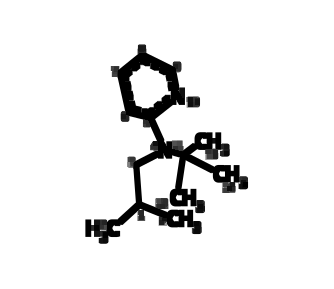 CC(C)CN(c1ccccn1)C(C)(C)C